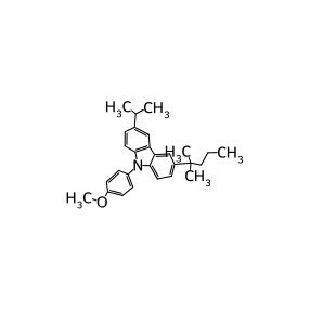 CCCC(C)(C)c1ccc2c(c1)c1cc(C(C)C)ccc1n2-c1ccc(OC)cc1